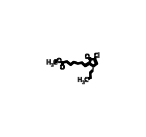 CCCC[C@H]1C=C(Cl)C(=O)C1=CCCCCCC(=O)OC